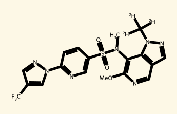 [2H]C([2H])([2H])n1ncc2cnc(OC)c(N(C)S(=O)(=O)c3ccc(-n4cc(C(F)(F)F)cn4)nc3)c21